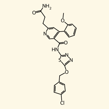 COc1ccccc1-c1cc(CCC(N)=O)ncc1C(=O)Nc1nnc(OCc2ccc(Cl)cc2)s1